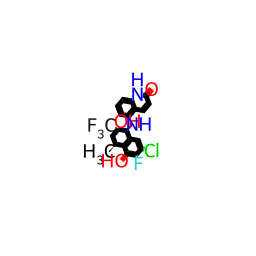 C[C@@H]1C[C@](O)(C(F)(F)F)[C@@H](Nc2cccc3[nH]c(=O)ccc23)c2cc(Cl)c(F)c(O)c21